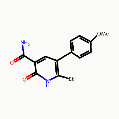 CCc1[nH]c(=O)c(C(N)=O)cc1-c1ccc(OC)cc1